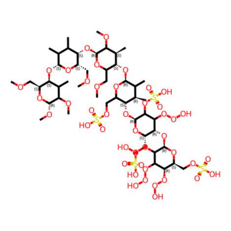 COCC1O[C@@H](O[C@H]2C(C)C(C)[C@@H](O[C@H]3C(C)C(OC)[C@H](OC)O[C@H]3COC)O[C@H]2COC)C(OC)[C@@H](C)[C@@H]1O[C@@H]1OC(COS(=O)(=O)O)[C@@H](O[C@@H]2O[C@@H](COS(=O)(=O)O)[C@@H](O[C@H]3O[C@@H](COS(=O)(=O)O)[C@@H](OOO)C(OOO)C3OOO)C(OOO)C2OS(=O)(=O)O)[C@H](C)C1C